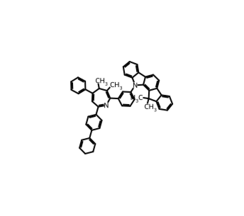 CC1=C(c2cccc(-n3c4ccccc4c4ccc5c(c43)C(C)(C)c3ccccc3-5)c2)N=C(c2ccc(C3=CCCC=C3)cc2)C=C(c2ccccc2)C1C